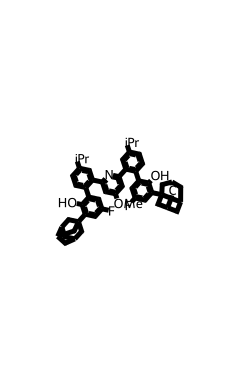 COc1cc(-c2cc(C(C)C)ccc2-c2cc(F)cc(C34CC5CC(C3)C(C5)C4)c2O)nc(-c2cc(C(C)C)ccc2-c2cc(F)cc(C34CC5CC6CC(C3)C64C5)c2O)c1